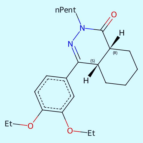 CCCCCN1N=C(c2ccc(OCC)c(OCC)c2)[C@H]2CCCC[C@H]2C1=O